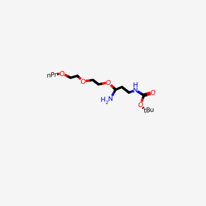 CCCOCCOCCOC(N)CCNC(=O)OC(C)(C)C